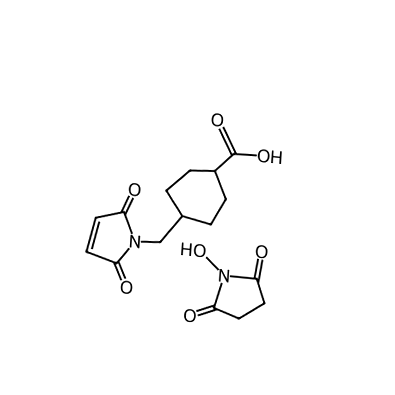 O=C(O)C1CCC(CN2C(=O)C=CC2=O)CC1.O=C1CCC(=O)N1O